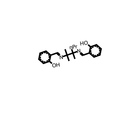 CCCC(C)(N=Cc1ccccc1O)C(C)(C)N=Cc1ccccc1O